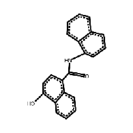 O=C(Nc1cccc2ccccc12)c1ccc(O)c2ccccc12